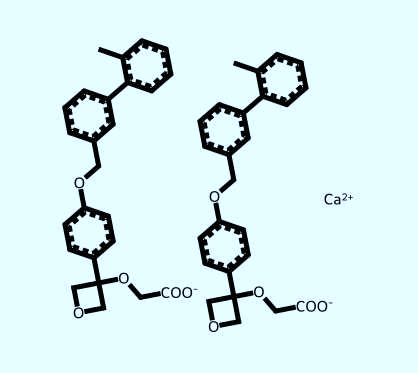 Cc1ccccc1-c1cccc(COc2ccc(C3(OCC(=O)[O-])COC3)cc2)c1.Cc1ccccc1-c1cccc(COc2ccc(C3(OCC(=O)[O-])COC3)cc2)c1.[Ca+2]